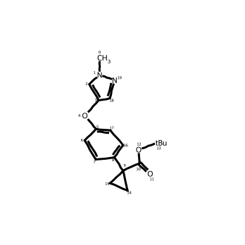 Cn1cc(Oc2ccc(C3(C(=O)OC(C)(C)C)CC3)cc2)cn1